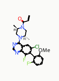 C=CC(=O)N1C[C@H](C)N(c2ncnc3c(F)c(-c4c(F)cccc4OC)c(Cl)cc23)C[C@H]1C